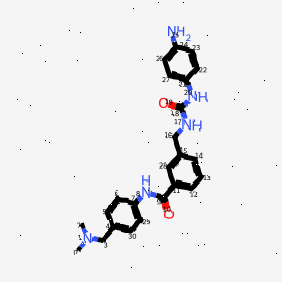 CN(C)Cc1ccc(NC(=O)c2cccc(CNC(=O)Nc3ccc(N)cc3)c2)cc1